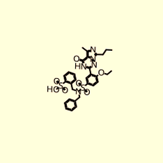 CCCc1nc(C)c2c(=O)[nH]c(-c3cc(S(=O)(=O)N(Cc4ccccc4)Cc4ccccc4S(=O)(=O)O)ccc3OCC)nn12